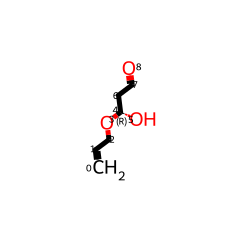 C=CCO[C@@H](O)CC=O